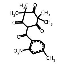 Cc1ccc(C(=O)C2C(=O)C(C)(C)C(=O)C(C)(C)C2=O)c([N+](=O)[O-])c1